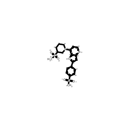 CS(=O)(=O)c1ccc(-c2cc3nccc(N4CCCC(S(C)(=O)=O)C4)c3o2)cc1